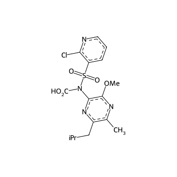 COc1nc(C)c(CC(C)C)nc1N(C(=O)O)S(=O)(=O)c1cccnc1Cl